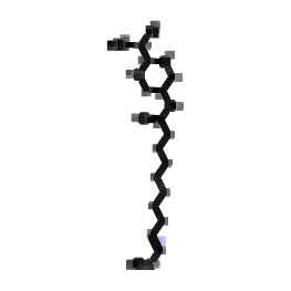 CCCCCCCC/C=C/CCCCCCCC(=O)OC1COC(C(CC)CCCC)OC1